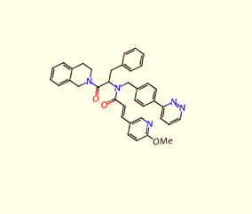 COc1ccc(C=CC(=O)N(Cc2ccc(-c3cccnn3)cc2)C(Cc2ccccc2)C(=O)N2CCc3ccccc3C2)cn1